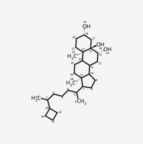 CC(CCCC(C)C1CCC2C3C[C@@H](O)[C@@]4(O)C[C@@H](O)CC[C@]4(C)C3CC[C@]12C)C1CCC1